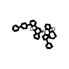 C1=Cc2oc3cccc(N(c4ccc(-c5ccccc5)cc4)c4cc5c6cccc(-c7ccc(-c8ccccc8)cc7)c6oc5c5ccccc45)c3c2C=CC1